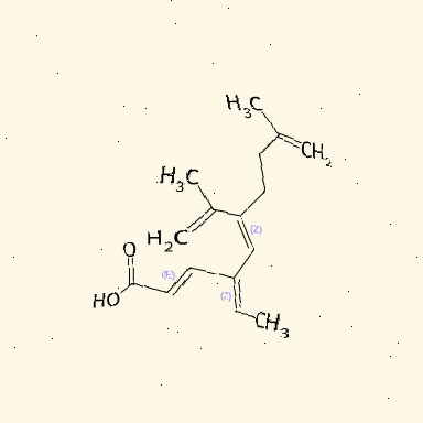 C=C(C)CC/C(=C/C(=C\C)/C=C/C(=O)O)C(=C)C